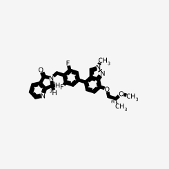 [2H]C1([2H])c2ncccc2C(=O)N1Cc1c(F)cc(-c2ccc(OC[C@@H](C)OC)c3nn(C)cc23)cc1F